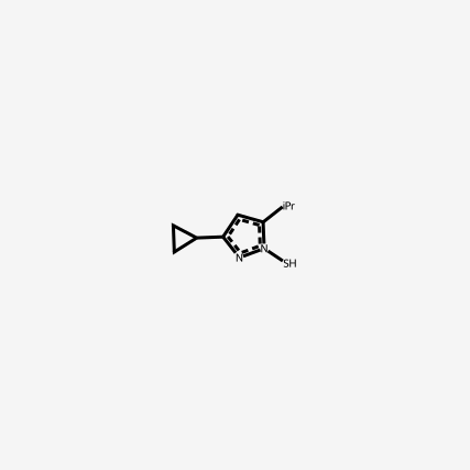 CC(C)c1cc(C2CC2)nn1S